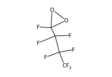 FC(F)(F)C(F)(F)C(F)(F)C1(F)OO1